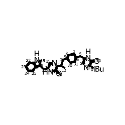 CCC(C)c1ncc(Cc2ccc(CC(C)c3ncc(Cc4c[nH]c5ccccc45)[nH]c3=O)cc2)[nH]c1=O